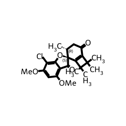 COc1cc(OC)c2c(c1Cl)O[C@]1(C2=O)C2=C(C(=O)C[C@H]1C)C(C)(C)C2(C)C